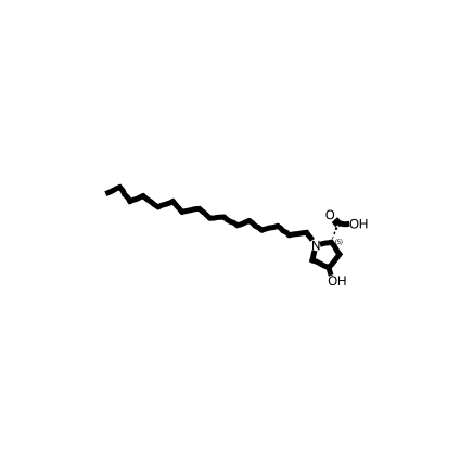 CCCCCCCCCCCCCCCCN1CC(O)C[C@H]1C(=O)O